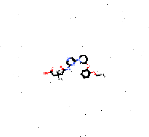 CCOc1ccccc1O[C@@H]1CCCN(c2cncc(NC(=O)CC(C)(C)CC(=O)O)n2)C1